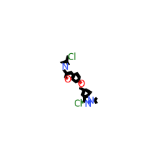 CC(C)n1nc(Cl)c2cc(COc3ccc4c(c3)OCC(CN3CC(CCl)C3)=C4)ccc21